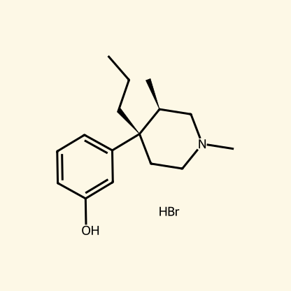 Br.CCC[C@]1(c2cccc(O)c2)CCN(C)C[C@@H]1C